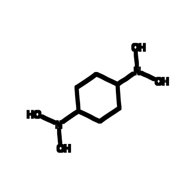 ON(O)C1CCC(N(O)O)CC1